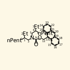 CCCCCC(CC)CN(CC(CC)CCCCC)C(=O)OCc1c2ccccc2cc2ccccc12